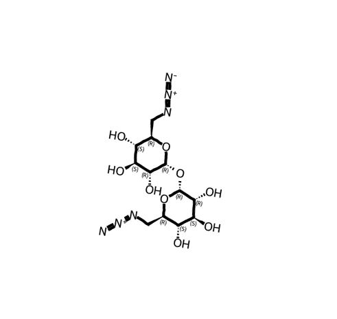 [N-]=[N+]=NC[C@H]1O[C@H](O[C@H]2O[C@H](CN=[N+]=[N-])[C@@H](O)[C@H](O)[C@H]2O)[C@H](O)[C@@H](O)[C@@H]1O